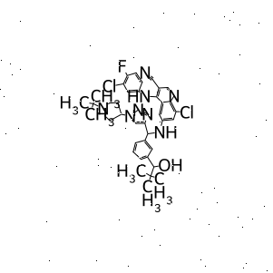 CC(C)(C)C(O)c1cccc(C(Nc2cc(Cl)c3ncc(C#N)c(Nc4ccc(F)c(Cl)c4)c3c2)c2cn(C3CCN(C(C)(C)C)CC3)nn2)c1